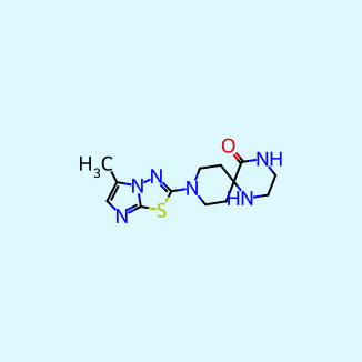 Cc1cnc2sc(N3CCC4(CC3)NCCNC4=O)nn12